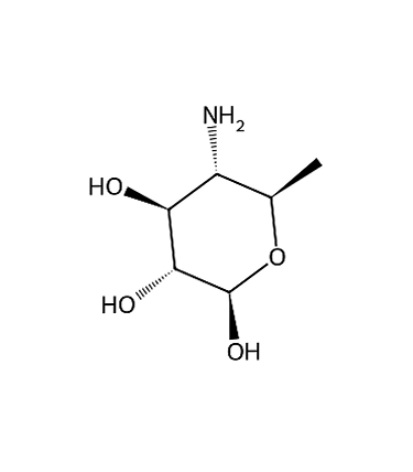 C[C@H]1O[C@@H](O)[C@H](O)[C@@H](O)[C@@H]1N